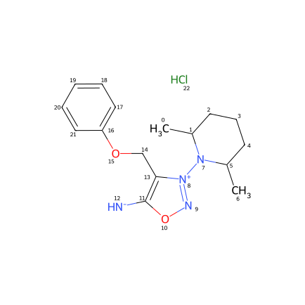 CC1CCCC(C)N1[n+]1noc([NH-])c1COc1ccccc1.Cl